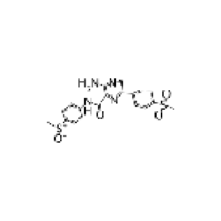 C[S+]([O-])c1ccc(NC(=O)c2nc(-c3ccc(S(C)(=O)=O)cc3)cnc2N)cc1